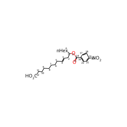 CCCCCCC(C/C=C/CCCCCCCC(=O)O)OC(=O)c1ccc([N+](=O)[O-])cc1